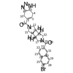 O=C(C1=CCc2[nH]nnc2C1)N1C[C@@H]2[C@H](C1)[C@H]1CN(C(=O)c3ccc4cc(Br)ccc4c3)C[C@@H]21